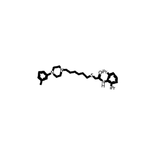 Cc1cccc(N2CCN(CCCCCCSCC(=O)Nc3c(C(C)C)cccc3C(C)C)CC2)c1